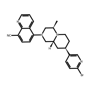 C[C@@H]1CN(c2ccc(C#N)c3ncccc23)C[C@H]2C[C@H](c3ccc(Br)nc3)CCN21